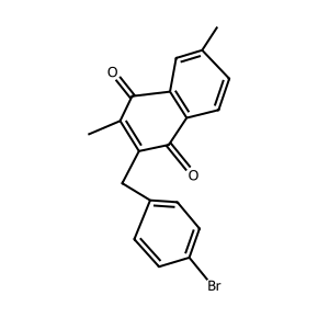 CC1=C(Cc2ccc(Br)cc2)C(=O)c2ccc(C)cc2C1=O